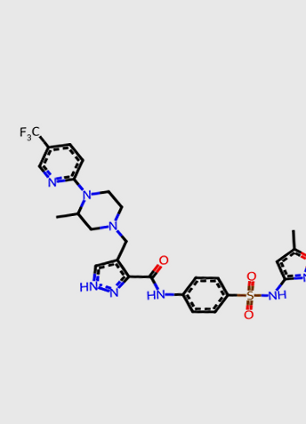 Cc1cc(NS(=O)(=O)c2ccc(NC(=O)c3n[nH]cc3CN3CCN(c4ccc(C(F)(F)F)cn4)C(C)C3)cc2)no1